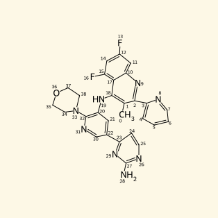 Cc1c(-c2ccccn2)nc2cc(F)cc(F)c2c1Nc1cc(-c2ccnc(N)n2)cnc1N1CCOCC1